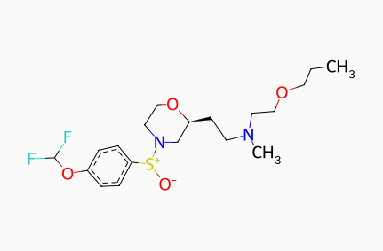 CCCOCCN(C)CC[C@H]1CN([S+]([O-])c2ccc(OC(F)F)cc2)CCO1